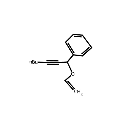 C=COC(C#CCCCC)c1ccccc1